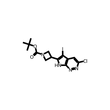 CC(C)(C)OC(=O)N1CC(c2[nH]c3nnc(Cl)cc3c2I)C1